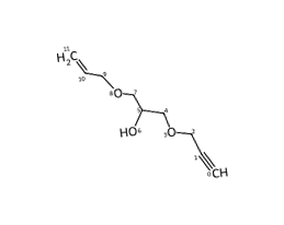 C#CCOCC(O)COCC=C